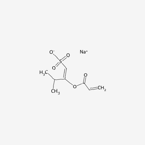 C=CC(=O)OC(=CS(=O)(=O)[O-])C(C)C.[Na+]